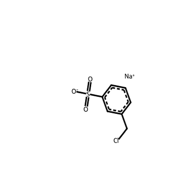 O=S(=O)([O-])c1cccc(CCl)c1.[Na+]